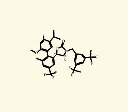 COc1cc(F)c(C(C)C)cc1-c1c(I)cc(C(F)(F)F)cc1[C@H]1OC(=O)N(Cc2cc(C(F)(F)F)cc(C(F)(F)F)c2)[C@@H]1C